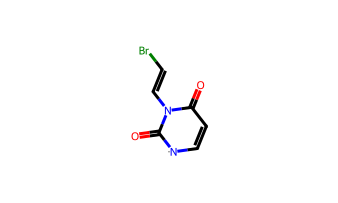 O=C1C=C[N]C(=O)N1C=CBr